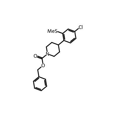 CSc1cc(Cl)ccc1C1CCN(C(=O)OCc2ccccc2)CC1